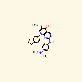 CCOC(=O)c1cn(-c2ccc3c(c2)CCC3)c2nc(Nc3ccc(N(C)C)cc3)ncc2c1=O